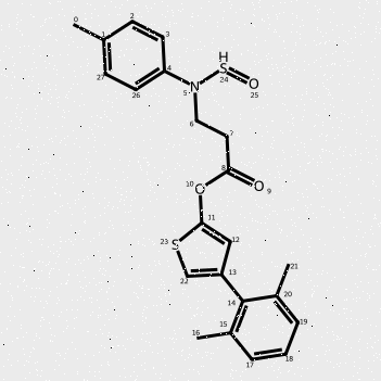 Cc1ccc(N(CCC(=O)Oc2cc(-c3c(C)cccc3C)cs2)[SH]=O)cc1